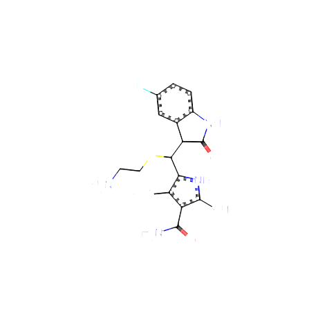 Cc1[nH]c(C(SCCN)C2C(=O)Nc3ccc(F)cc32)c(C)c1C(N)=O